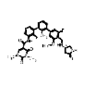 COc1cc(-c2cccc(-c3cccc(NC(=O)c4cn(C)c(=O)n(C)c4=O)c3F)c2C)cc(F)c1CN[C@@H]1CNC(=O)C1